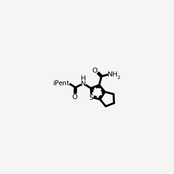 CCCC(C)C(=O)Nc1sc2c(c1C(N)=O)CCC2